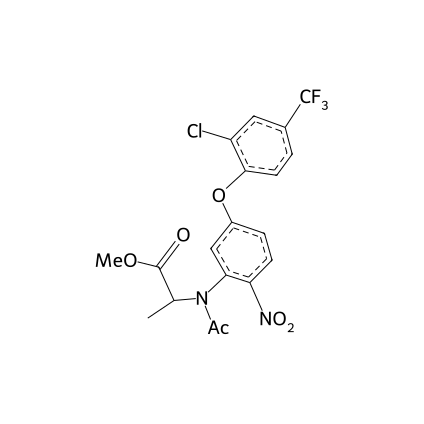 COC(=O)C(C)N(C(C)=O)c1cc(Oc2ccc(C(F)(F)F)cc2Cl)ccc1[N+](=O)[O-]